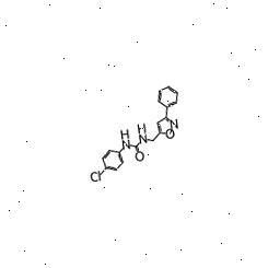 O=C(NCc1cc(-c2ccccc2)no1)Nc1ccc(Cl)cc1